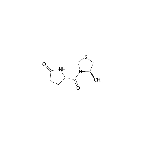 C[C@@H]1CSCN1C(=O)[C@@H]1CCC(=O)N1